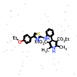 CCOC(=O)C1=C(C)NC(C)=C(C(=O)OCC)C1c1ccccc1Nc1nc(-c2ccc(OCC)cc2)cs1